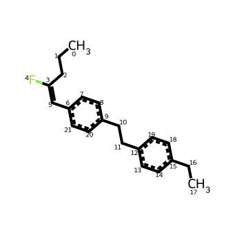 CCC/C(F)=C\c1ccc(CCc2ccc(CC)cc2)cc1